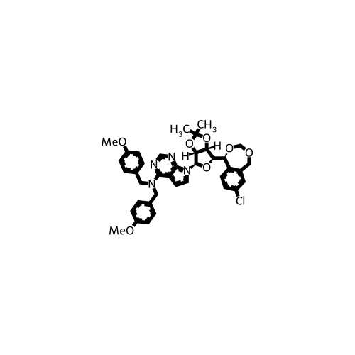 COc1ccc(CN(Cc2ccc(OC)cc2)c2ncnc3c2ccn3[C@@H]2O[C@H]([C@@H]3OCOCc4cc(Cl)ccc43)[C@H]3OC(C)(C)O[C@H]32)cc1